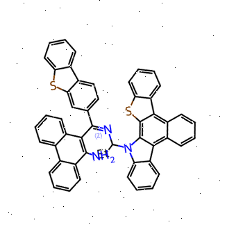 CCC(/N=C(/c1ccc2c(c1)sc1ccccc12)c1c(N)c2ccccc2c2ccccc12)n1c2ccccc2c2c3ccccc3c3c4ccccc4sc3c21